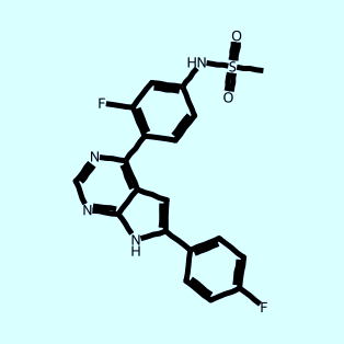 CS(=O)(=O)Nc1ccc(-c2ncnc3[nH]c(-c4ccc(F)cc4)cc23)c(F)c1